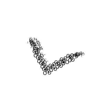 O=P([O-])([O-])[O-].O=P([O-])([O-])[O-].O=P([O-])([O-])[O-].O=P([O-])([O-])[O-].O=P([O-])([O-])[O-].O=P([O-])([O-])[O-].O=P([O-])([O-])[O-].O=P([O-])([O-])[O-].[Bi+3].[Bi+3].[Bi+3].[Fe+3].[Fe+3].[Fe+3].[Pb+2].[Pb+2].[Pb+2]